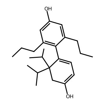 CCCc1cc(O)cc(CCC)c1C1=CC=C(O)CC1(C(C)C)C(C)C